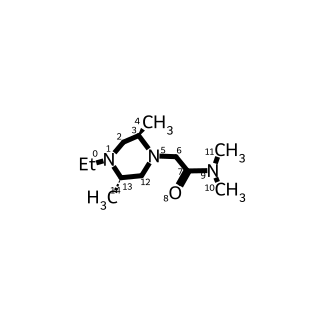 CCN1C[C@@H](C)N(CC(=O)N(C)C)C[C@@H]1C